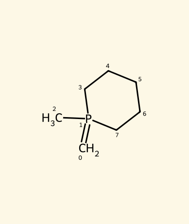 C=P1(C)CCCCC1